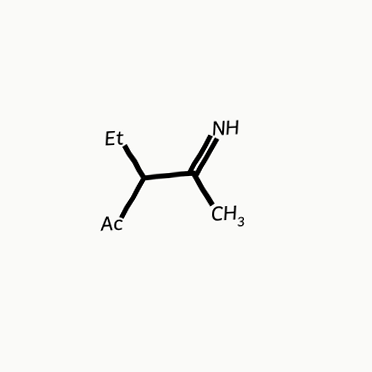 CCC(C(C)=N)C(C)=O